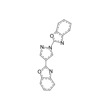 c1ccc2oc(-c3cnn(-c4nc5ccccc5o4)c3)nc2c1